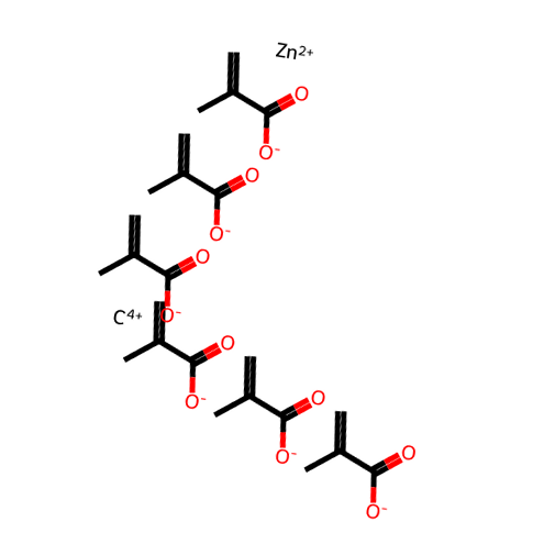 C=C(C)C(=O)[O-].C=C(C)C(=O)[O-].C=C(C)C(=O)[O-].C=C(C)C(=O)[O-].C=C(C)C(=O)[O-].C=C(C)C(=O)[O-].[C+4].[Zn+2]